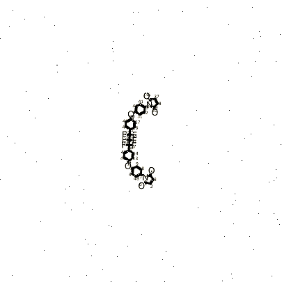 O=C1C=CC(=O)N1c1ccc(Oc2ccc(C(F)(F)C(F)(F)C(F)(F)c3ccc(Oc4ccc(N5C(=O)C=CC5=O)cc4)cc3)cc2)cc1